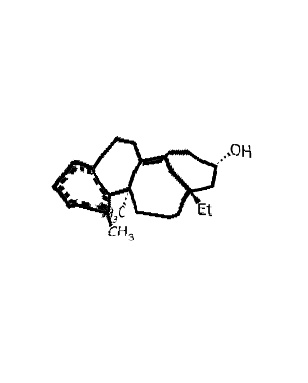 CC[C@@]12CC[C@]3(C)C(=C1C[C@H](O)C2)CCc1cccc(C)c13